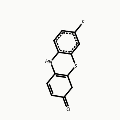 O=C1C=CC2=C(C1)Sc1cc(F)ccc1N2